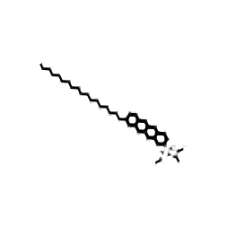 CCCCCCCCCCCCCCCCCCc1ccc2cc3cc4ccc([Si](OCC)(OCC)OCC)cc4cc3cc2c1